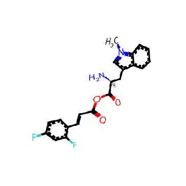 Cn1cc(C[C@H](N)C(=O)OC(=O)C=Cc2ccc(F)cc2F)c2ccccc21